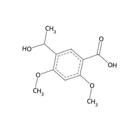 COc1cc(OC)c(C(C)O)cc1C(=O)O